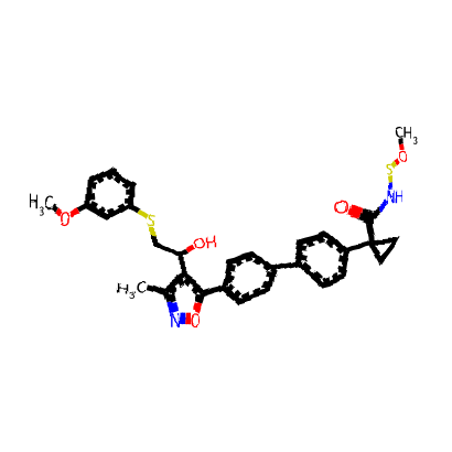 COSNC(=O)C1(c2ccc(-c3ccc(-c4onc(C)c4C(O)CSc4cccc(OC)c4)cc3)cc2)CC1